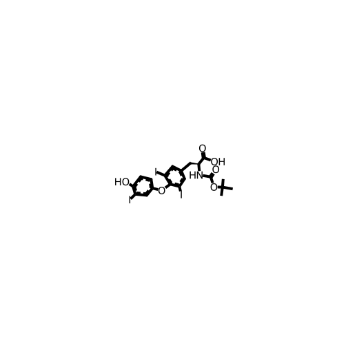 CC(C)(C)OC(=O)N[C@@H](Cc1cc(I)c(Oc2ccc(O)c(I)c2)c(I)c1)C(=O)O